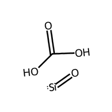 O=C(O)O.O=[Si]